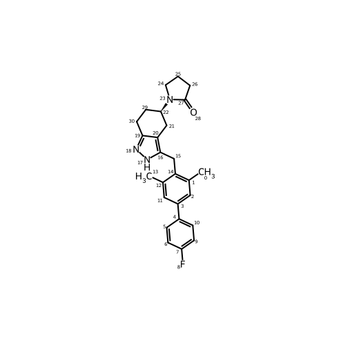 Cc1cc(-c2ccc(F)cc2)cc(C)c1Cc1[nH]nc2c1C[C@H](N1CCCC1=O)CC2